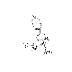 Cc1nn(CC(C)C)c2ncc(-c3ccncc3)cc12